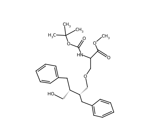 COC(=O)C(COC[C@H](Cc1ccccc1)[C@H](CO)Cc1ccccc1)NC(=O)OC(C)(C)C